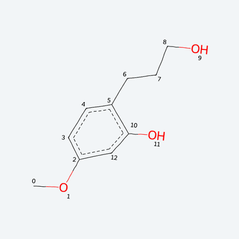 COc1ccc(CCCO)c(O)c1